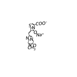 CN1Cc2nc(/C=C3\C(=O)N4C(C(=O)[O-])=CSC34)cn2CC1=O.[Na+]